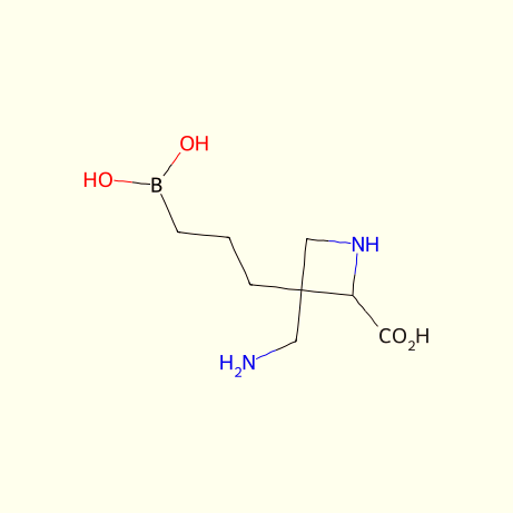 NCC1(CCCB(O)O)CNC1C(=O)O